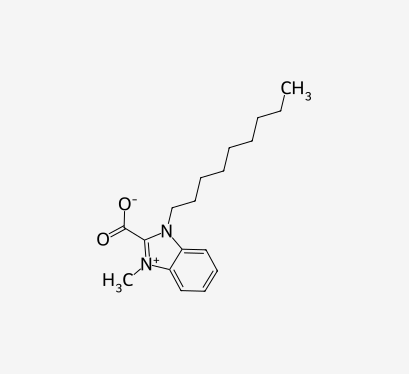 CCCCCCCCCn1c(C(=O)[O-])[n+](C)c2ccccc21